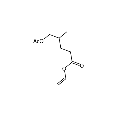 C=COC(=O)CCC(C)COC(C)=O